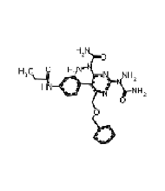 CCC(=O)Nc1ccc(-c2c(COCc3ccccc3)nc(N(N)C(N)=O)nc2N(N)C(N)=O)cc1